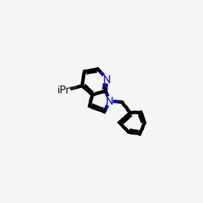 CC(C)c1ccnc2c1ccn2Cc1ccccc1